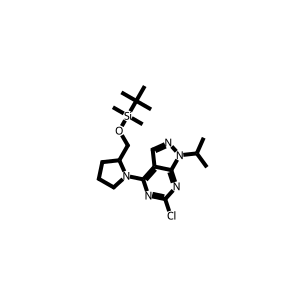 CC(C)n1ncc2c(N3CCCC3CO[Si](C)(C)C(C)(C)C)nc(Cl)nc21